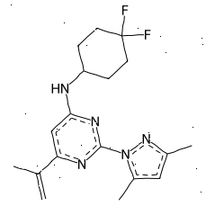 C=C(C)c1cc(NC2CCC(F)(F)CC2)nc(-n2nc(C)cc2C)n1